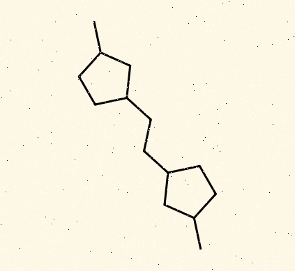 CC1CCC(CCC2CCC(C)C2)C1